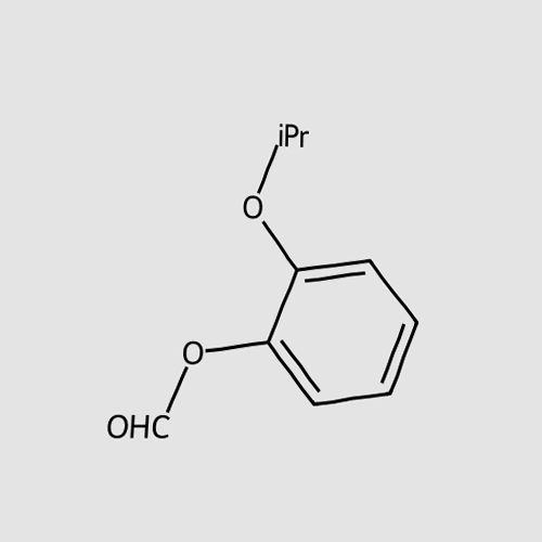 CC(C)Oc1ccccc1OC=O